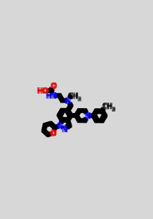 Cc1cccc(N2CCC(c3c(CN(C)CCNC(=O)O)ccc4c3cnn4C3CCCCO3)CC2)c1